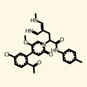 CN/C=C(\C=N)CC(C(=O)Nc1ccc(C)cc1)n1cc(OC)c(-c2cc(Cl)ccc2C(C)=O)cc1=O